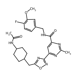 COc1cc(CNC(=O)c2cc(-c3noc(CC4CCC(NC(C)=O)CC4)n3)nc(C)n2)ccc1F